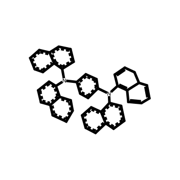 C1=CC2=C(N(c3ccc(N(c4cccc5ccccc45)c4cccc5ccccc45)cc3)c3cccc4ccccc34)C=CCC2C=C1